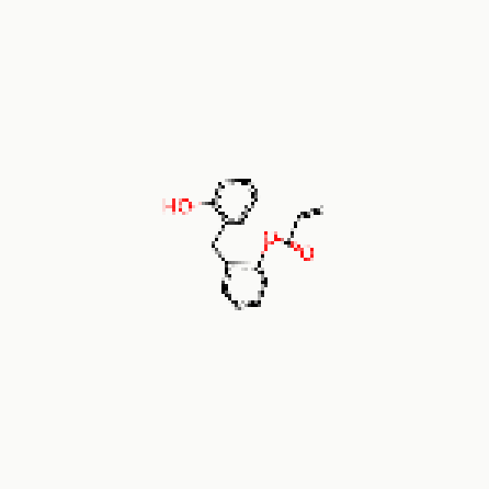 C=CC(=O)Oc1ccccc1Cc1ccccc1O